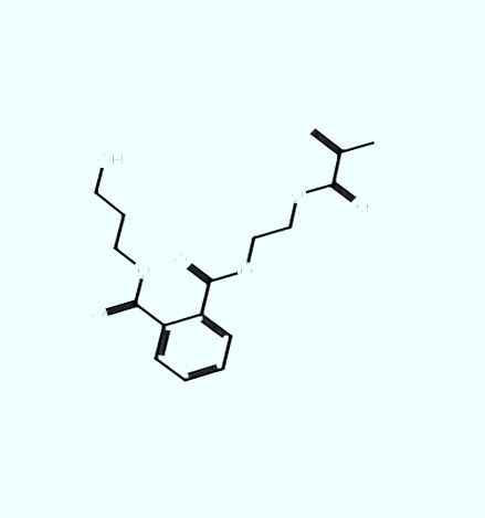 C=C(C)C(=O)OCCOC(=O)c1ccccc1C(=O)OCCCO